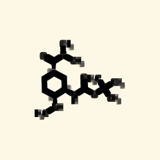 CN[C@@H]1CC[C@H](C(=O)N(C)C)C[C@H]1NC(=O)OC(C)(C)C